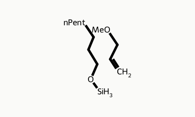 C=CCOC.CCCCCCCCO[SiH3]